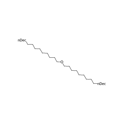 CCCCCCCCCCCCCCCCCCCOCCCCCCCCCCCCCCCCCCC